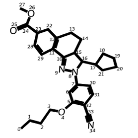 CCCCOc1cc(N2N=C3C4=C(CCC3C2C2CCCC2)CC(C(=O)OC)C=C4)ccc1C#N